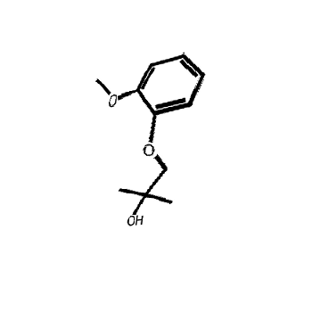 COc1c[c]ccc1OCC(C)(C)O